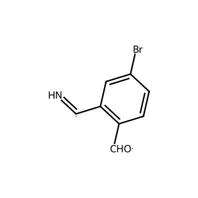 N=[C]c1cc(Br)ccc1[C]=O